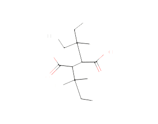 CCC(C)(C)C(C(=O)O)C(C(=O)O)C(C)(CC)CC